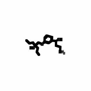 CCCC(O)(CCC)COc1cccc([C@@H](O)CCN)c1